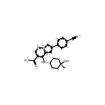 C[C@]1(O)CC[C@@H](Nc2c(C(N)=O)cnn3cc(-c4ccc(C#N)cc4)cc23)CC1